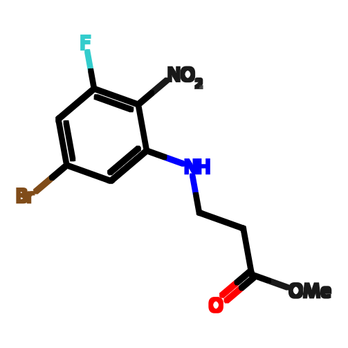 COC(=O)CCNc1cc(Br)cc(F)c1[N+](=O)[O-]